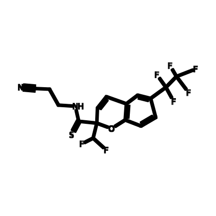 N#CCCNC(=S)C1(C(F)F)C=Cc2cc(C(F)(F)C(F)(F)F)ccc2O1